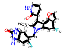 O=C(O)c1c(-c2ccc[nH]c2=O)c2c3occc3c(F)cc2n1Cc1cc2[nH]c(=O)[nH]c2cc1F